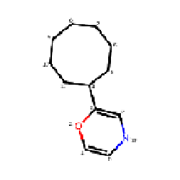 C1=COC(C2CCCCCCC2)=C[N]1